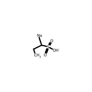 CC[CH]([Na])S(=O)(=O)O